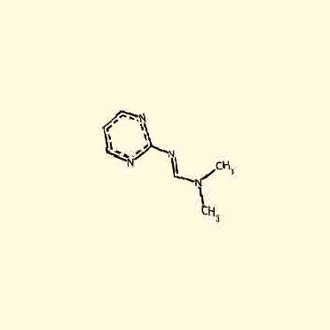 CN(C)C=Nc1ncccn1